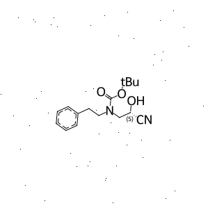 CC(C)(C)OC(=O)N(CCc1ccccc1)C[C@H](O)C#N